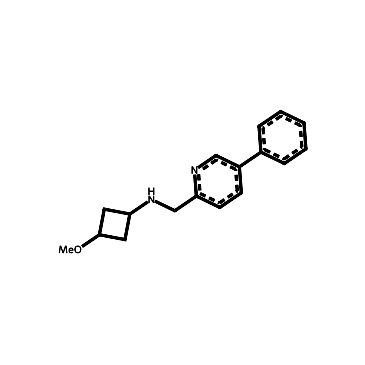 COC1CC(NCc2ccc(-c3ccccc3)cn2)C1